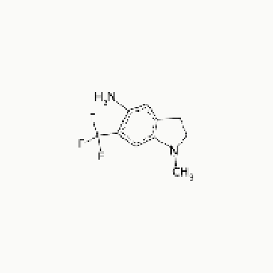 CN1CCc2cc(N)c(C(F)(F)F)cc21